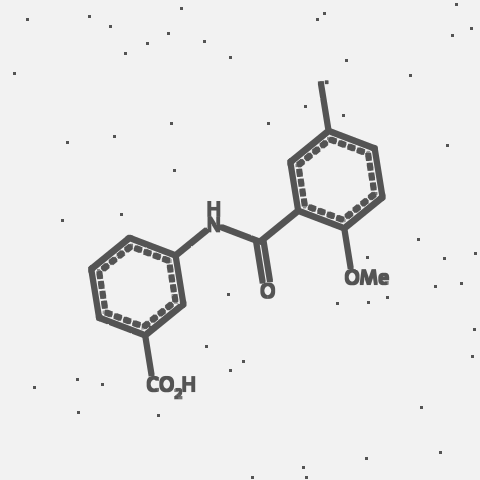 [CH2]c1ccc(OC)c(C(=O)Nc2cccc(C(=O)O)c2)c1